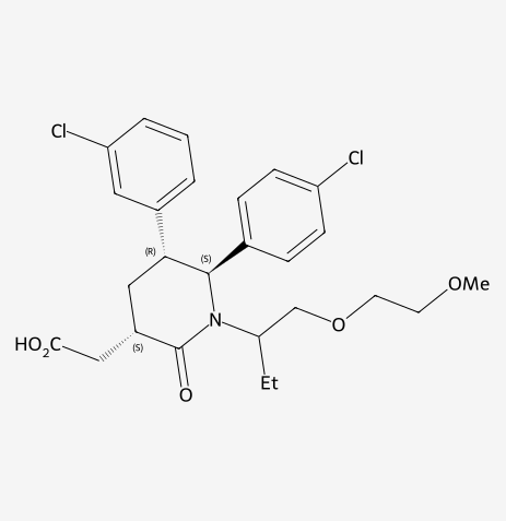 CCC(COCCOC)N1C(=O)[C@H](CC(=O)O)C[C@H](c2cccc(Cl)c2)[C@H]1c1ccc(Cl)cc1